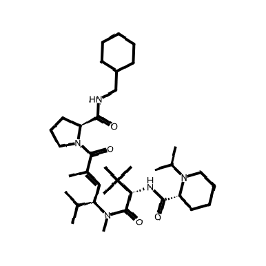 C/C(=C\[C@H](C(C)C)N(C)C(=O)[C@@H](NC(=O)[C@H]1CCCCN1C(C)C)C(C)(C)C)C(=O)N1CCC[C@H]1C(=O)NCC1CCCCC1